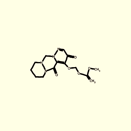 C=C(OC)OCOc1c2n(ncc1=O)CN1CCCCN1C2=O